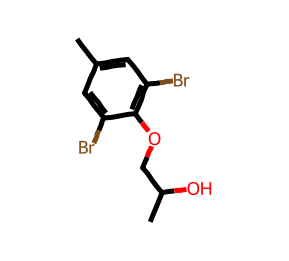 Cc1cc(Br)c(OCC(C)O)c(Br)c1